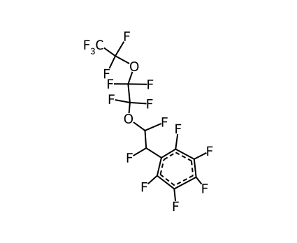 Fc1c(F)c(F)c(C(F)C(F)OC(F)(F)C(F)(F)OC(F)(F)C(F)(F)F)c(F)c1F